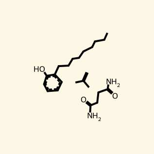 C=C(C)C.CCCCCCCCCc1ccccc1O.NC(=O)CCC(N)=O